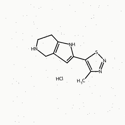 Cc1nnsc1-c1cc2c([nH]1)CCNC2.Cl